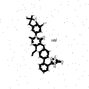 Br.CCCc1nc(C)n(-c2cc(F)c3c(c2)CC(C)(C)O3)c(=O)c1Cc1ccc(-c2ccccc2-c2noc(=O)[nH]2)cc1